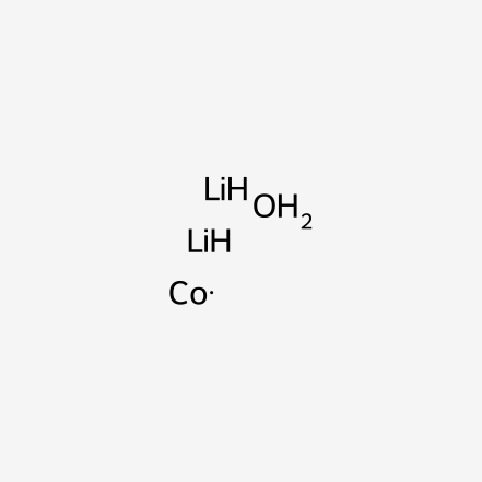 O.[Co].[LiH].[LiH]